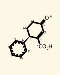 O=C1C=C(C(=O)O)[C@@H](c2ccccc2)CC1